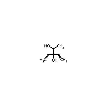 C=CC(O)(C=C)C(C)O